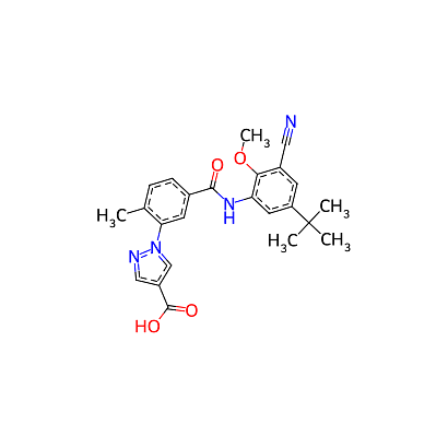 COc1c(C#N)cc(C(C)(C)C)cc1NC(=O)c1ccc(C)c(-n2cc(C(=O)O)cn2)c1